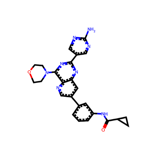 Nc1ncc(-c2nc(N3CCOCC3)c3ncc(-c4cccc(NC(=O)C5CC5)c4)cc3n2)cn1